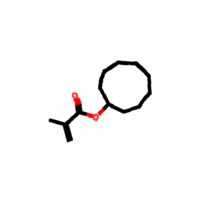 C=C(C)C(=O)OC1CCCCCCCC1